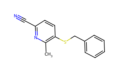 Cc1nc(C#N)ccc1SCc1ccccc1